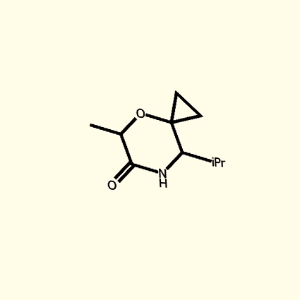 CC1OC2(CC2)C(C(C)C)NC1=O